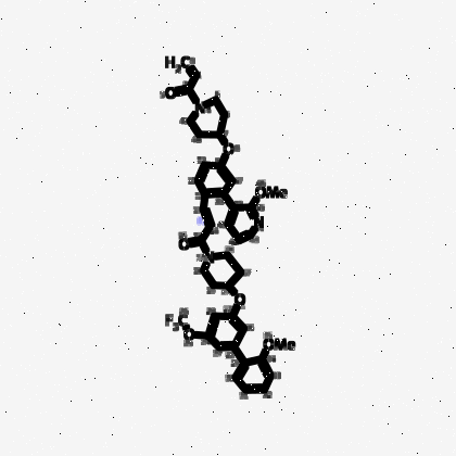 C=CC(=O)N1CCC(Oc2ccc(/C=C/C(=O)N3CCC(Oc4cc(OC(F)(F)F)cc(-c5ccccc5OC)c4)CC3)c(-c3cccnc3OC)c2)CC1